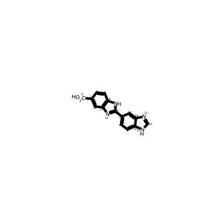 O=C(O)c1ccc2[nH]c(-c3ccc4[nH]cnc4c3)nc2c1